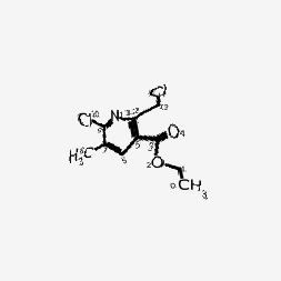 CCOC(=O)c1cc(C)c(Cl)nc1CCl